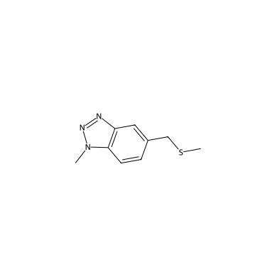 CSCc1ccc2c(c1)nnn2C